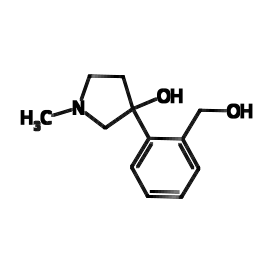 CN1CCC(O)(c2ccccc2CO)C1